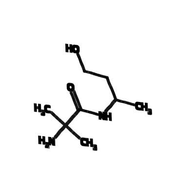 CC(CCO)NC(=O)C(C)(C)N